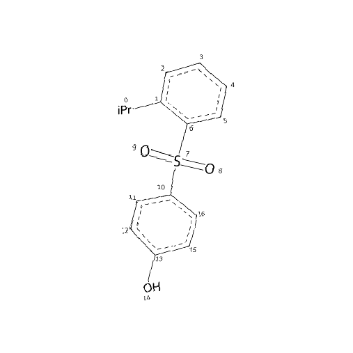 CC(C)c1ccccc1S(=O)(=O)c1ccc(O)cc1